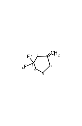 C=C1[CH]CCC(F)(F)C1